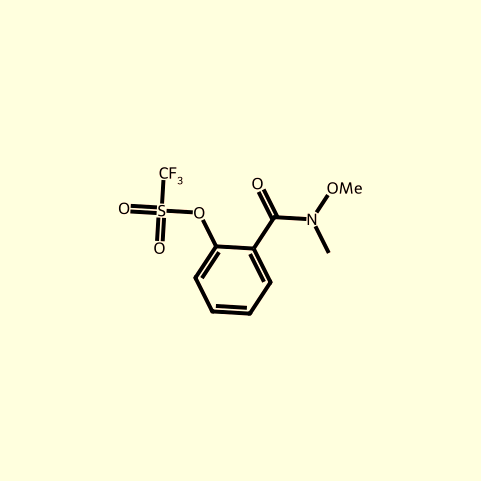 CON(C)C(=O)c1ccccc1OS(=O)(=O)C(F)(F)F